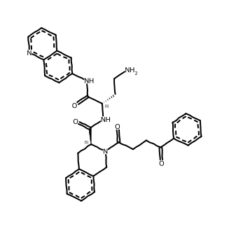 NCC[C@H](NC(=O)[C@@H]1Cc2ccccc2CN1C(=O)CCC(=O)c1ccccc1)C(=O)Nc1ccc2ncccc2c1